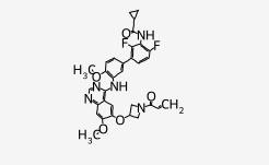 C=CC(=O)N1CC(Oc2cc3c(Nc4cc(-c5ccc(F)c(NC(=O)C6CC6)c5F)ccc4OC)ncnc3cc2OC)C1